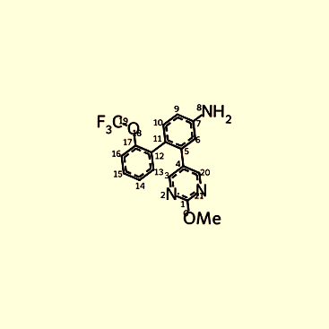 COc1ncc(-c2cc(N)ccc2-c2ccccc2OC(F)(F)F)cn1